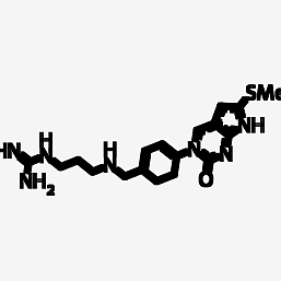 CSc1cc2cn(C3=CC=C(CNCCCNC(=N)N)CC3)c(=O)nc2[nH]1